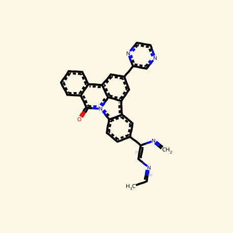 C=N/C(=C\N=C/C)c1ccc2c(c1)c1cc(-c3cnccn3)cc3c4ccccc4c(=O)n2c31